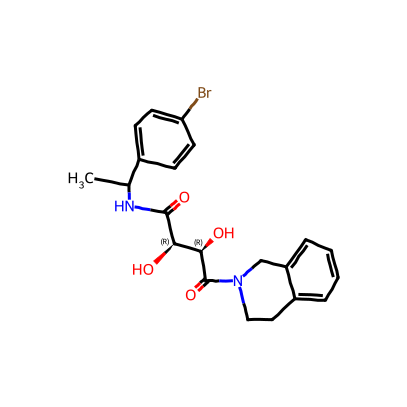 CC(NC(=O)[C@H](O)[C@@H](O)C(=O)N1CCc2ccccc2C1)c1ccc(Br)cc1